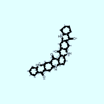 O=c1c2ccccc2[nH]c2cc3c(=O)c4c(ccc5[nH]c6cc7c(=O)c8ccccc8[nH]c7cc6c(=O)c54)[nH]c3cc12